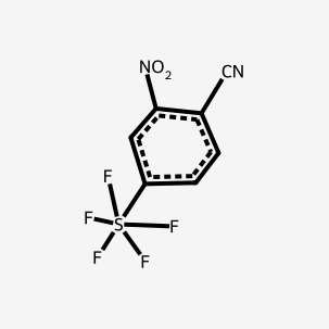 N#Cc1ccc(S(F)(F)(F)(F)F)cc1[N+](=O)[O-]